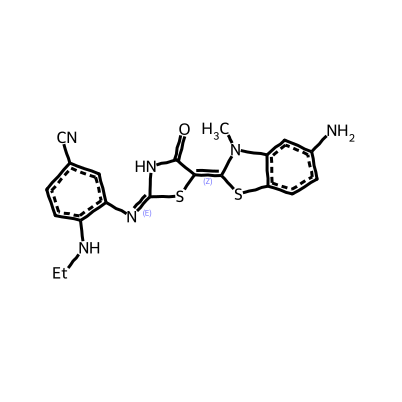 CCNc1ccc(C#N)cc1/N=C1\NC(=O)/C(=C2/Sc3ccc(N)cc3N2C)S1